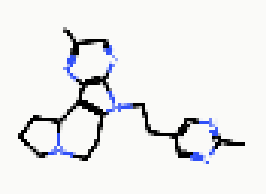 Cc1cnc2c(n1)c1c(n2CCc2cnc(C)nc2)CCN2CCCC12